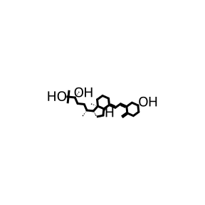 C=C1CC[C@H](O)C/C1=C/C=C1\CCC[C@]2(C)[C@@H]([C@H](C)CC[C@@H](O)C(C)(C)O)CC[C@@H]12